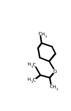 CC1CCC(OC(C)C(C)C)CC1